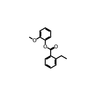 CCc1ccccc1C(=O)Oc1ccccc1OC